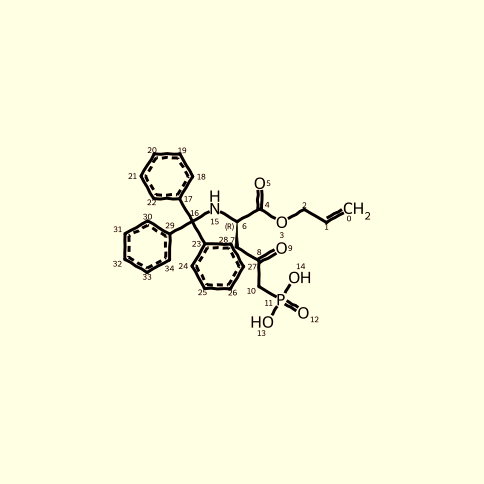 C=CCOC(=O)[C@@H](CC(=O)CP(=O)(O)O)NC(c1ccccc1)(c1ccccc1)c1ccccc1